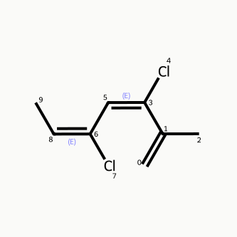 C=C(C)/C(Cl)=C\C(Cl)=C/C